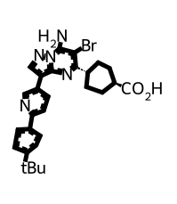 CC(C)(C)c1ccc(-c2ccc(-c3cnn4c(N)c(Br)c([C@H]5CC[C@H](C(=O)O)CC5)nc34)cn2)cc1